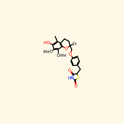 CCC1(COc2ccc(CC3SC(=O)NC3=O)cc2)CCc2c(C)c(O)c(OC)c(OC)c2O1